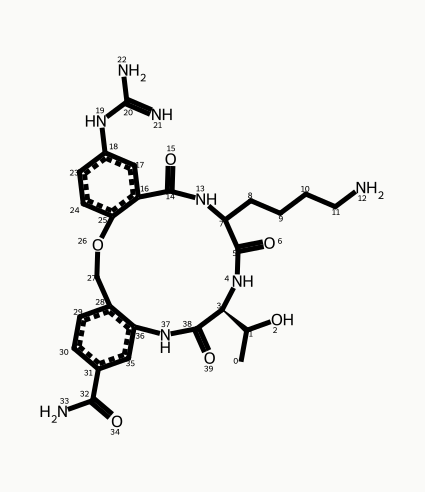 CC(O)[C@@H]1NC(=O)C(CCCCN)NC(=O)c2cc(NC(=N)N)ccc2OCc2ccc(C(N)=O)cc2NC1=O